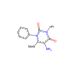 CCCn1c(=O)c(N)c(NC)n(-c2ccccc2)c1=O